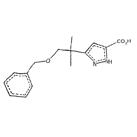 CC(C)(COCc1ccccc1)c1cc(C(=O)O)[nH]n1